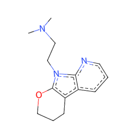 CN(C)CCn1c2c(c3cccnc31)CCCO2